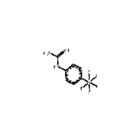 N=C(N)Nc1ccc(S(F)(F)(F)(F)F)cc1